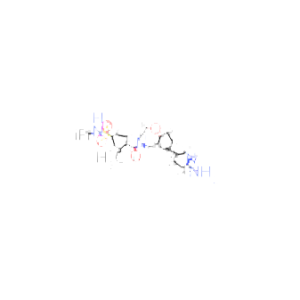 Cc1cc(S(=O)(=O)NC(C)C)ccc1C(=O)N1CCOc2ccc(-c3ccc(N)nc3)cc2C1